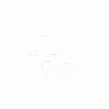 Cc1c(-c2ccc(Cl)cc2)c(C(=O)N2CCOC(C)(C)C2)n(C2CCC2)c1C(F)(F)F